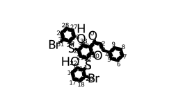 O=c1cc(-c2ccccc2)oc2c(Sc3ccccc3Br)c(O)c(Sc3ccccc3Br)c(O)c12